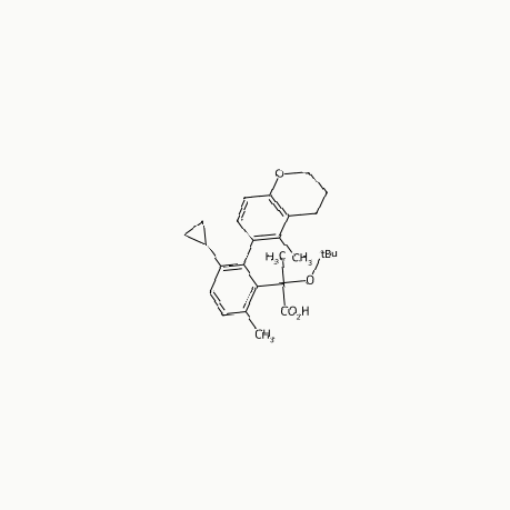 Cc1ccc(C2CC2)c(-c2ccc3c(c2C)CCCO3)c1C(C)(OC(C)(C)C)C(=O)O